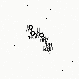 COc1ncccc1-c1ccc(O)c(-c2nc3cc(C(=O)NCCNc4nc(C)cc(=O)[nH]4)ccc3[nH]2)c1